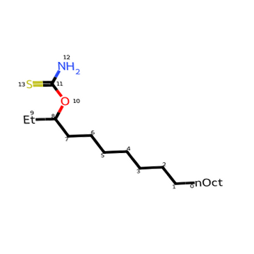 CCCCCCCCCCCCCCCC(CC)OC(N)=S